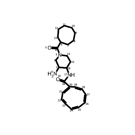 NC1CN(C(=O)C2CCCCCCC2)CCC1NC(=O)c1ccccccccc1